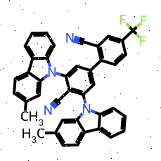 Cc1ccc2c3ccccc3n(-c3cc(-c4ccc(C(F)(F)F)cc4C#N)cc(-n4c5ccccc5c5ccc(C)cc54)c3C#N)c2c1